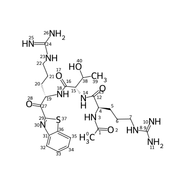 CC(=O)N[C@H](CCCNC(=N)N)C(=O)N[C@H](C(=O)N[C@@H](CCCNC(=N)N)C(=O)c1nc2ccccc2s1)C(C)O